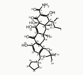 CCN(C)[C@@H]1C(O)=C(C(N)=O)C(=O)[C@@]2(O)C(O)=C3C(=O)c4c(O)cc(CN5CCCC5)c(OC(F)(F)F)c4C[C@H]3C[C@@H]12